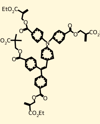 C=C(COC(=O)c1ccc(/C(=C/c2ccc(N(c3ccc(C(=O)OCC(=C)C(=O)OCC)cc3)c3ccc(C(=O)OCC(=C)C(=O)OCC)cc3)cc2)c2ccc(C(=O)OCC(C)(C)C(=O)OCC)cc2)cc1)C(=O)OCC